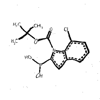 CC(C)(C)OC(=O)n1c(B(O)O)cc2cccc(Cl)c21